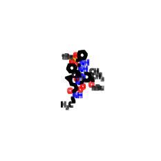 C=CCNC(=O)C(=O)C(CC1CC1)NC(=O)[C@@H]1C[C@](C)(COCCCC)C(C)CN1C(=O)[C@@H](NC(=O)NC1(CS(=O)(=O)C(C)(C)C)CCCCC1)C1(C)CCCCC1